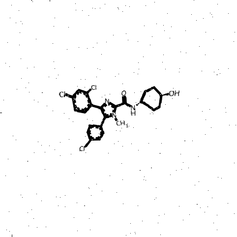 Cn1c(C(=O)N[C@H]2CC[C@H](O)CC2)nc(-c2ccc(Cl)cc2Cl)c1-c1ccc(Cl)cc1